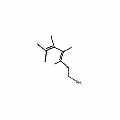 CC(C)=C(C)/C(C)=C(\C)CCN